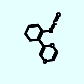 O=C=NC1=C(C2=COC=CO2)CCC=C1